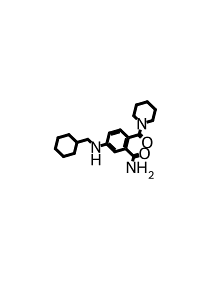 NC(=O)c1cc(NCC2CCCCC2)ccc1C(=O)N1CCCCC1